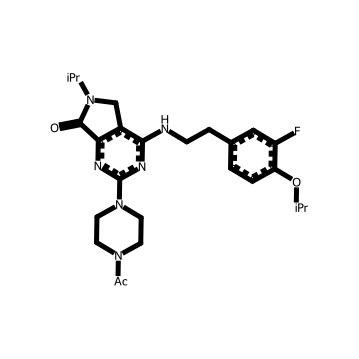 CC(=O)N1CCN(c2nc(NCCc3ccc(OC(C)C)c(F)c3)c3c(n2)C(=O)N(C(C)C)C3)CC1